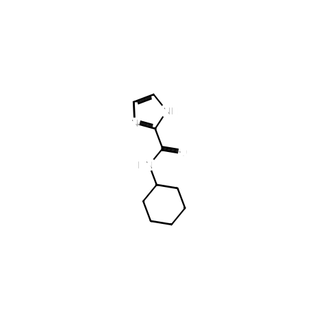 O=C(NC1CCCCC1)c1ncc[nH]1